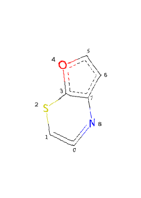 C1=CSc2occc2N=1